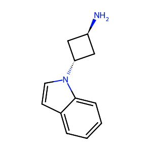 N[C@H]1C[C@H](n2ccc3ccccc32)C1